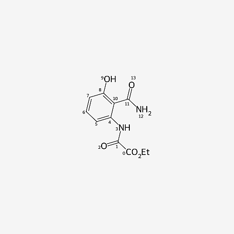 CCOC(=O)C(=O)Nc1cccc(O)c1C(N)=O